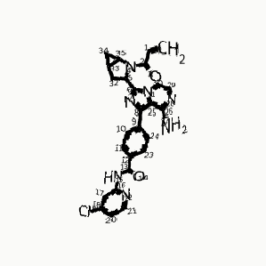 C=CC(=O)N1C(c2nc(-c3ccc(C(=O)Nc4cc(Cl)ccn4)cc3)c3c(N)nccn23)CC2CC21